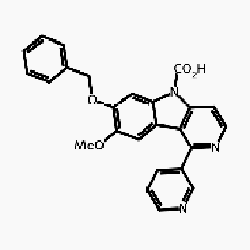 COc1cc2c3c(-c4cccnc4)nccc3n(C(=O)O)c2cc1OCc1ccccc1